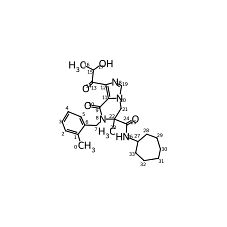 Cc1ccccc1CN1C(=O)c2c(C(=O)C(C)O)ncn2CC1(C)C(=O)NC1CCCCCC1